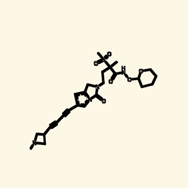 CN1CC(C#CC#Cc2cc3n(c2)C(=O)N(CCC(C)(C(=O)NOC2CCCCO2)S(C)(=O)=O)C3)C1